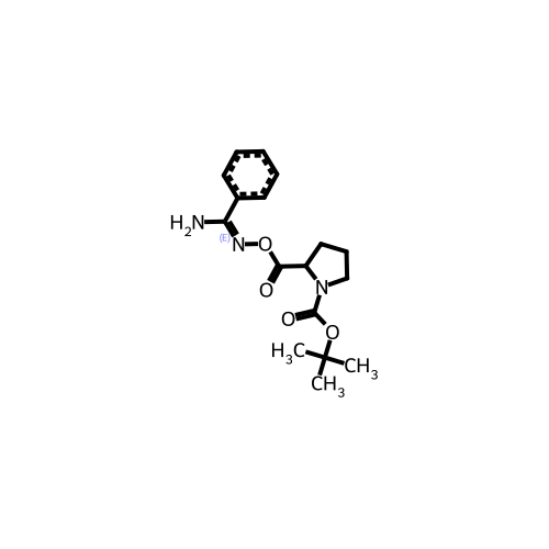 CC(C)(C)OC(=O)N1CCCC1C(=O)O/N=C(/N)c1ccccc1